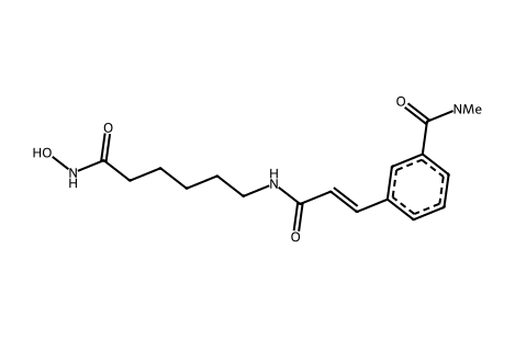 CNC(=O)c1cccc(/C=C/C(=O)NCCCCCC(=O)NO)c1